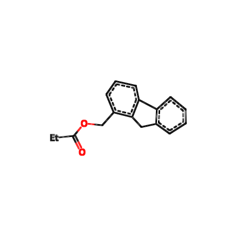 [CH2]CC(=O)OCc1cccc2c1Cc1ccccc1-2